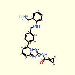 NCc1ccccc1NCc1ccc(-c2cccc3nc(NC(=O)C4CC4)nn23)cc1